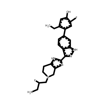 CCc1cc(O)c(F)cc1-c1ccc2c(-c3nc4c([nH]3)CCN(CC(F)CN)C4)n[nH]c2c1